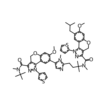 COc1cc2c(cc1CC(C)C)-c1c(c(C(=O)N(C)C(C)(C)CCc3ncc(-c4cc5c(cc4OC)OCc4c(C(=O)N(C)C(C)(C)C)nn(-c6ccsc6)c4-5)n3C)nn1-c1cccs1)CO2